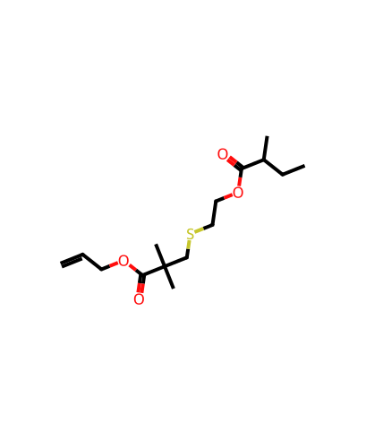 C=CCOC(=O)C(C)(C)CSCCOC(=O)C(C)CC